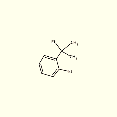 CCc1ccccc1C(C)(C)CC